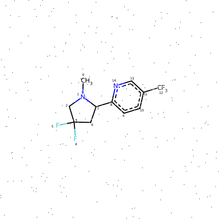 CN1CC(F)(F)CC1c1ccc(C(F)(F)F)cn1